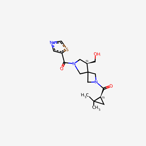 CC1(C)C[C@@H]1C(=O)N1CC2(CN(C(=O)c3cncs3)C[C@H]2CO)C1